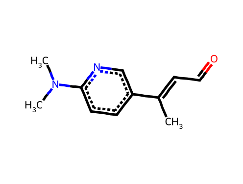 CC(=CC=O)c1ccc(N(C)C)nc1